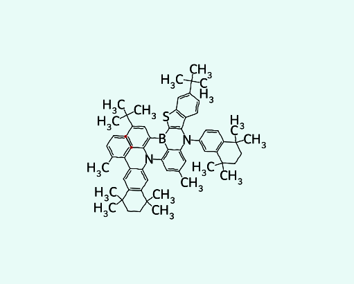 Cc1cc2c3c(c1)N(c1ccc4c(c1)C(C)(C)CCC4(C)C)c1c(sc4cc(C(C)(C)C)ccc14)B3c1cc(C(C)(C)C)ccc1N2c1cc2c(cc1-c1ccccc1C)C(C)(C)CCC2(C)C